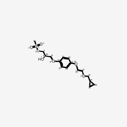 CS(=O)(=O)OC[C@H](O)COc1ccc(OCCOCC2CC2)cc1